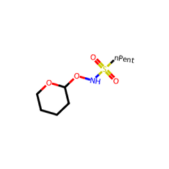 CCCCCS(=O)(=O)NOC1CCCCO1